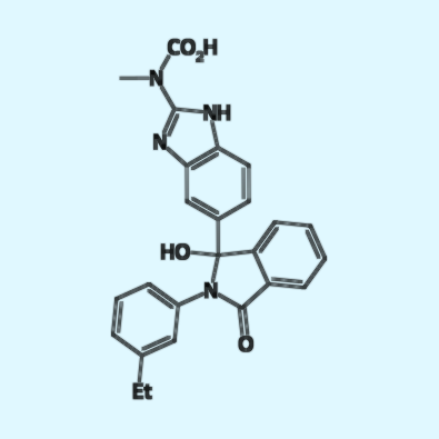 CCc1cccc(N2C(=O)c3ccccc3C2(O)c2ccc3[nH]c(N(C)C(=O)O)nc3c2)c1